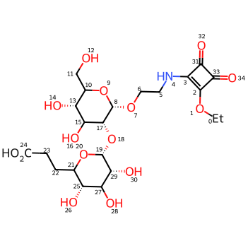 CCOc1c(NCCO[C@H]2OC(CO)[C@@H](O)C(O)[C@H]2O[C@H]2OC(CCC(=O)O)[C@@H](O)C(O)[C@H]2O)c(=O)c1=O